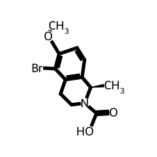 COc1ccc2c(c1Br)CCN(C(=O)O)[C@@H]2C